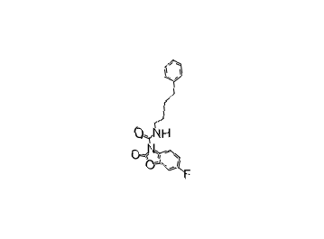 O=C(NCCCCc1ccccc1)n1c(=O)oc2cc(F)ccc21